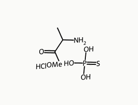 COC(=O)C(C)N.Cl.OP(O)(O)=S